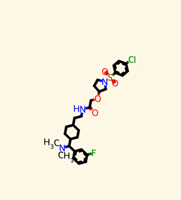 CN(C)C(c1cccc(F)c1)C1CCC(CCNC(=O)COC2CCN(S(=O)(=O)c3ccc(Cl)cc3)C2)CC1